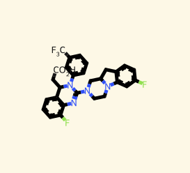 O=C(O)CC1c2cccc(F)c2N=C(N2CCN3c4cc(F)ccc4CC3C2)N1c1cccc(C(F)(F)F)c1